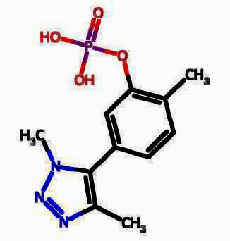 Cc1ccc(-c2c(C)nnn2C)cc1OP(=O)(O)O